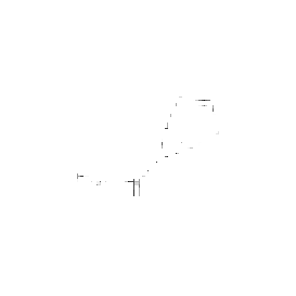 O=C(O)NC1C2C=CCC21